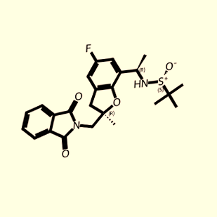 C[C@@H](N[S@+]([O-])C(C)(C)C)c1cc(F)cc2c1O[C@@](C)(CN1C(=O)c3ccccc3C1=O)C2